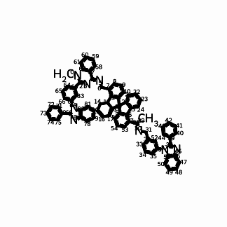 C=N/C(=N\C(=N/Cc1cccc2c1C1CC=CC=C1C21c2ccccc2-c2c(/C(C)=N/Cc3cccc(-n4c(-c5ccccc5)nc5ccccc54)c3)cccc21)c1ccccc1)c1cccc(-n2c(-c3ccccc3)nc3ccccc32)c1